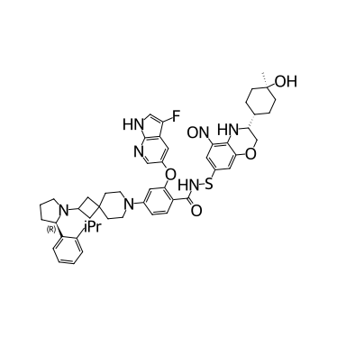 CC(C)c1ccccc1[C@H]1CCCN1C1CC2(CCN(c3ccc(C(=O)NSc4cc(N=O)c5c(c4)OCC([C@H]4CC[C@](C)(O)CC4)N5)c(Oc4cnc5[nH]cc(F)c5c4)c3)CC2)C1